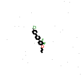 CCCCOc1ccc([C@H]2CC[C@H]([C@H]3CC[C@H](CCl)CC3)CC2)c(F)c1F